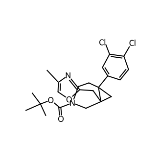 Cc1coc(CC23CN(C(=O)OC(C)(C)C)CCC2(c2ccc(Cl)c(Cl)c2)C3)n1